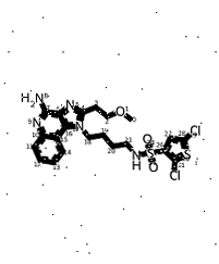 COCCc1nc2c(N)nc3ccccc3c2n1CCCCNS(=O)(=O)c1cc(Cl)sc1Cl